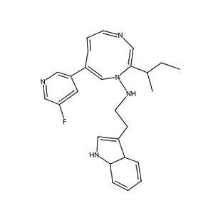 CCC(C)c1cncccc(-c2cncc(F)c2)cn1NCCC1=CNC2C=CC=CC12